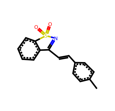 Cc1ccc(C=CC2=NS(=O)(=O)c3ccccc32)cc1